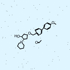 CC=O.COc1ccc(-c2ccc(CO[C@@H]3C[C@@H](N4CCCCC4)[C@@H](O)C3)cc2)cc1